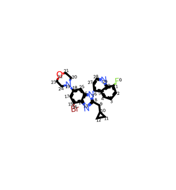 Fc1cccc2c(-n3c(CC4CC4)nc4c(Br)cc(N5CCOCC5)cc43)ccnc12